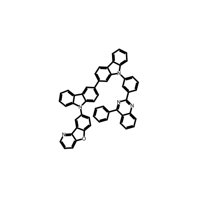 c1ccc(-c2nc(-c3cccc(-n4c5ccccc5c5ccc(-c6ccc7c(c6)c6ccccc6n7-c6ccc7oc8cccnc8c7c6)cc54)c3)nc3ccccc23)cc1